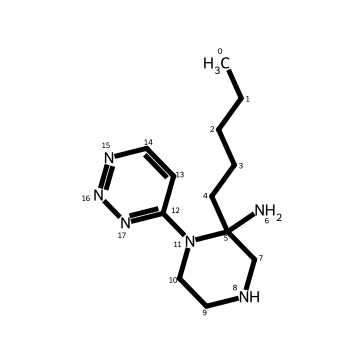 CCCCCC1(N)CNCCN1c1ccnnn1